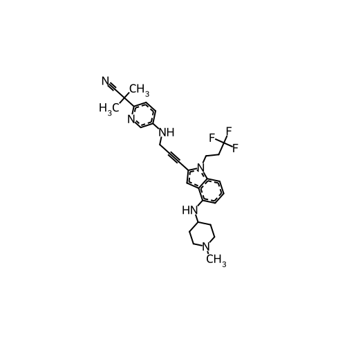 CN1CCC(Nc2cccc3c2cc(C#CCNc2ccc(C(C)(C)C#N)nc2)n3CCC(F)(F)F)CC1